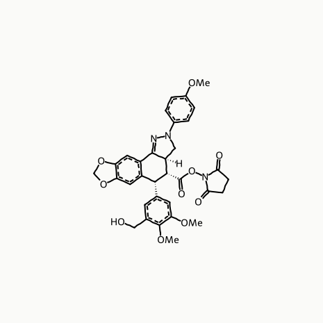 COc1ccc(N2C[C@@H]3C(=N2)c2cc4c(cc2[C@@H](c2cc(CO)c(OC)c(OC)c2)[C@H]3C(=O)ON2C(=O)CCC2=O)OCO4)cc1